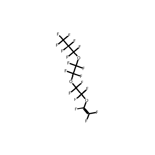 FC(F)=C(F)OC(F)(F)C(F)(F)OC(F)(F)C(F)(F)OC(F)(F)C(F)(F)C(F)(F)F